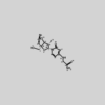 [N-]=[N+]=N[C@]1(CO)O[C@@H](n2ccc(NCC(N)=O)nc2=O)[C@@H](F)C1O